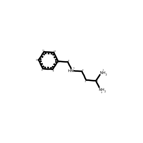 NC(N)CCNCc1ccccc1